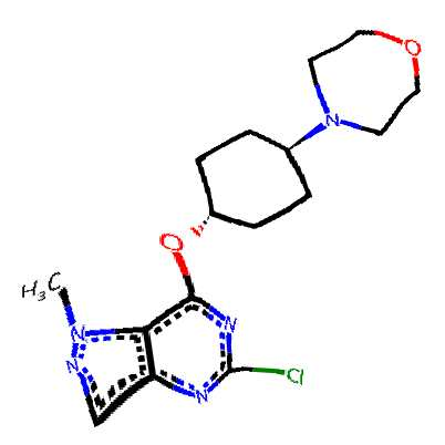 Cn1ncc2nc(Cl)nc(O[C@H]3CC[C@H](N4CCOCC4)CC3)c21